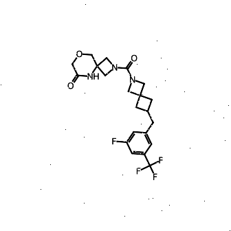 O=C1COCC2(CN(C(=O)N3CC4(CC(Cc5cc(F)cc(C(F)(F)F)c5)C4)C3)C2)N1